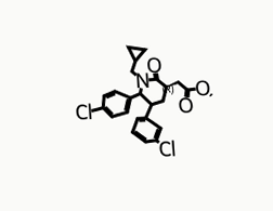 COC(=O)C[C@H]1CC(c2cccc(Cl)c2)C(c2ccc(Cl)cc2)N(CC2CC2)C1=O